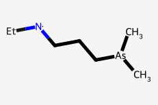 CC[N]CCC[As](C)C